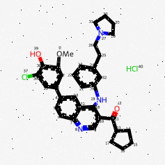 COc1cc(-c2ccc3ncc(C(=O)C4CCCC4)c(Nc4cccc(CCN5CCCC5)c4)c3c2)cc(Cl)c1O.Cl